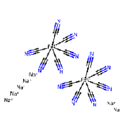 N#[C][Fe-3]([C]#N)([C]#N)([C]#N)([C]#N)[C]#N.N#[C][Fe-4]([C]#N)([C]#N)([C]#N)([C]#N)[C]#N.[Na+].[Na+].[Na+].[Na+].[Na+].[Na+].[Na+]